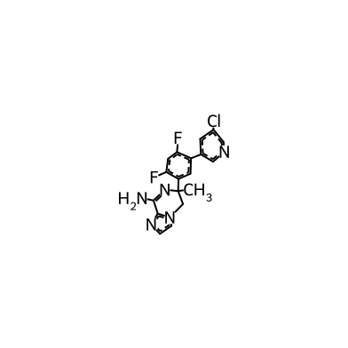 CC1(c2cc(-c3cncc(Cl)c3)c(F)cc2F)Cn2ccnc2C(N)=N1